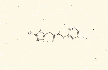 O=C(Cc1nnc(C(F)(F)F)o1)OCc1ccccc1